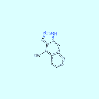 CC(C)(C)c1c2ccccc2cc2[nH]ncc12